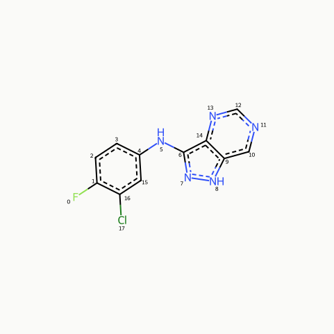 Fc1ccc(Nc2n[nH]c3cncnc23)cc1Cl